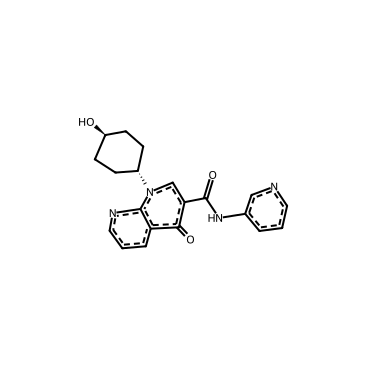 O=C(Nc1cccnc1)c1cn([C@H]2CC[C@H](O)CC2)c2ncccc2c1=O